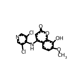 COc1ccc2c(Nc3c(Cl)cncc3Cl)cc(=O)oc2c1O